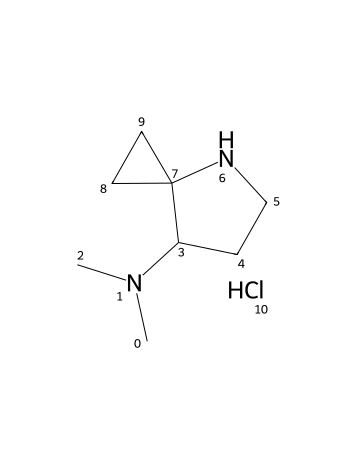 CN(C)C1CCNC12CC2.Cl